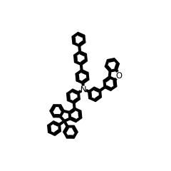 c1ccc(-c2ccc(-c3ccc(N(c4cccc(-c5ccc6oc7ccccc7c6c5)c4)c4cccc(-c5cccc6c5-c5ccccc5C6(c5ccccc5)c5ccccc5)c4)cc3)cc2)cc1